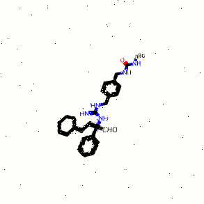 CCCCNC(=O)NCc1ccc(CNC(=N)NC(C=O)(CCC2CCCCC2)c2ccccc2)cc1